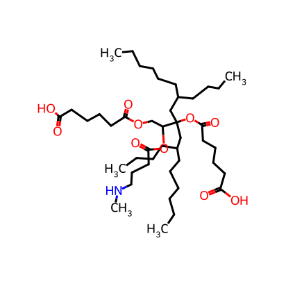 CCCCCCC(CCCC)CC(CC(CCCC)CCCCCC)(OC(=O)CCCCC(=O)O)C(COC(=O)CCCCC(=O)O)OC(=O)CCCNC